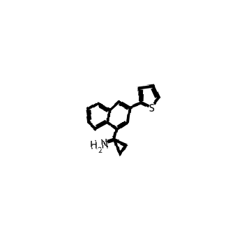 NC1(c2cc(-c3cccs3)cc3ccccc23)CC1